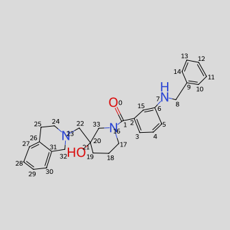 O=C(c1cccc(NCc2ccccc2)c1)N1CCCC(O)(CN2CCc3ccccc3C2)C1